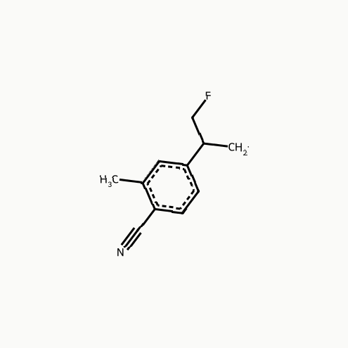 [CH2]C(CF)c1ccc(C#N)c(C)c1